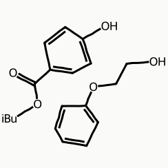 CCC(C)OC(=O)c1ccc(O)cc1.OCCOc1ccccc1